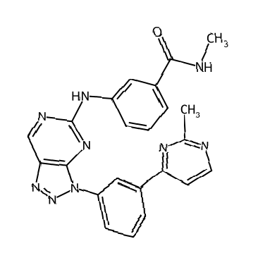 CNC(=O)c1cccc(Nc2ncc3nnn(-c4cccc(-c5ccnc(C)n5)c4)c3n2)c1